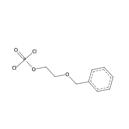 O=P(Cl)(Cl)OCCOCc1ccccc1